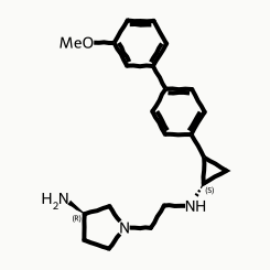 COc1cccc(-c2ccc(C3C[C@@H]3NCCN3CC[C@@H](N)C3)cc2)c1